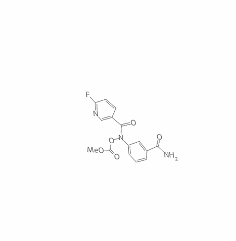 COC(=O)ON(C(=O)c1ccc(F)nc1)c1cccc(C(N)=O)c1